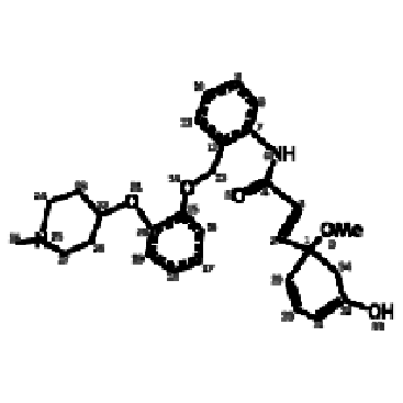 COC1(C=CC(=O)Nc2ccccc2COc2ccccc2OC2CCN(C)CC2)C=CC=C(O)C1